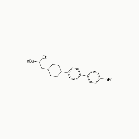 CCCCC(CC)CC1CCC(c2ccc(-c3ccc(CCC)cc3)cc2)CC1